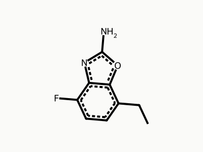 CCc1ccc(F)c2nc(N)oc12